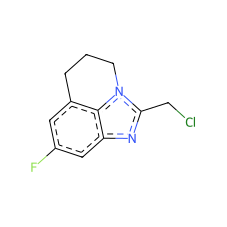 Fc1cc2c3c(c1)nc(CCl)n3CCC2